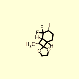 C[C@@H]1[C@H]2[C@H](CC[C@@H](I)C2(F)F)C12OCCO2